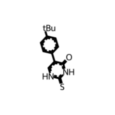 CC(C)(C)c1ccc(-c2c[nH]c(=S)[nH]c2=O)cc1